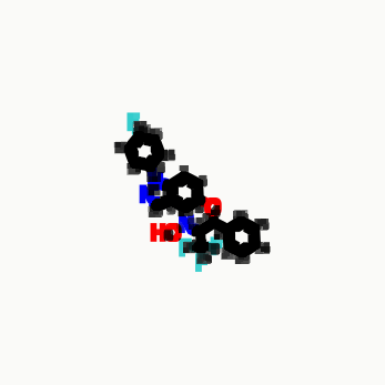 O/N=C(/C(Oc1ccc2c(cnn2-c2ccc(F)cc2)c1)c1ccccc1)C(F)(F)F